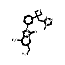 Cn1cnnc1CC1(c2cccc(-n3cc4c(C(F)(F)F)cc(CN)cn4c3=O)c2)COC1